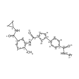 Cc1ccc(C(=O)NC2CC2)cc1NC(=O)c1ccc(-c2ccc(C(=O)NC(C)C)cc2)s1